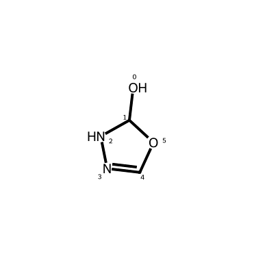 OC1NN=CO1